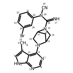 Cc1c[nH]c2ncnc(N3CC4CC3CN4C(=N)N(C#N)c3cccc(Br)c3)c12